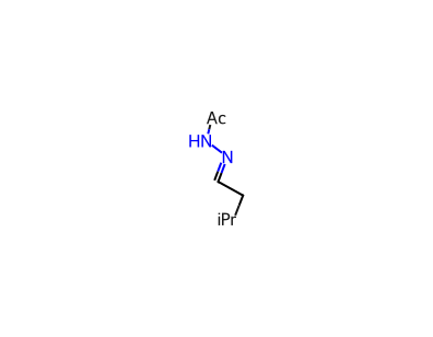 CC(=O)N/N=C/CC(C)C